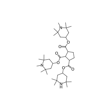 CN1C(C)(C)CC(OC(=O)C2CCC(C(=O)OC3CC(C)(C)NC(C)(C)C3)C2C(=O)OC2CC(C)(C)N(C)C(C)(C)C2)CC1(C)C